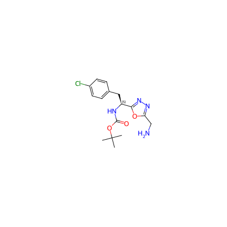 CC(C)(C)OC(=O)N[C@@H](Cc1ccc(Cl)cc1)c1nnc(CN)o1